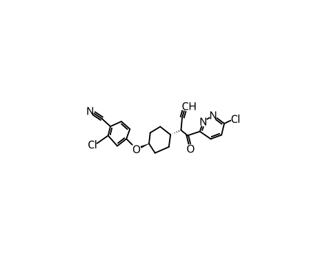 C#CC(C(=O)c1ccc(Cl)nn1)[C@H]1CC[C@H](Oc2ccc(C#N)c(Cl)c2)CC1